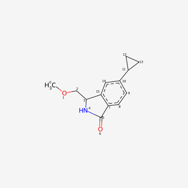 COCC1NC(=O)c2ccc(C3CC3)cc21